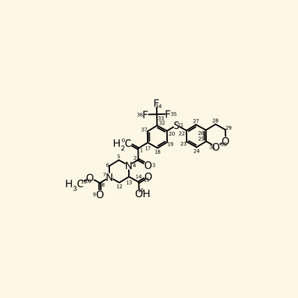 C=C(C(=O)N1CCN(C(=O)OC)CC1C(=O)O)c1ccc(Sc2ccc3c(c2)CCOO3)c(C(F)(F)F)c1